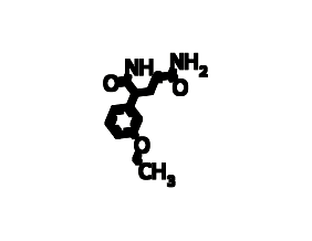 CCOc1cccc(C(CCC(N)=O)C(N)=O)c1